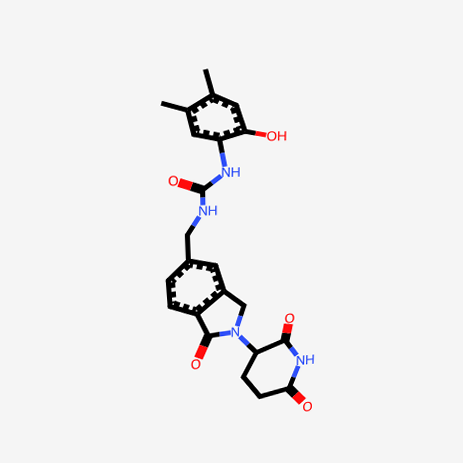 Cc1cc(O)c(NC(=O)NCc2ccc3c(c2)CN(C2CCC(=O)NC2=O)C3=O)cc1C